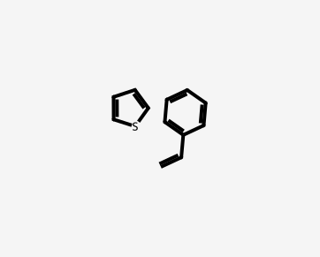 C=Cc1ccccc1.c1ccsc1